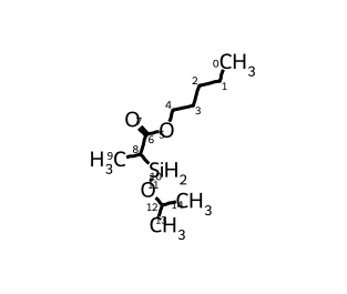 CCCCCOC(=O)C(C)[SiH2]OC(C)C